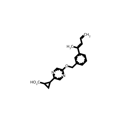 C=C/C=C(\C)c1cccc(COc2cnc(C3CC3C(=O)O)cn2)c1